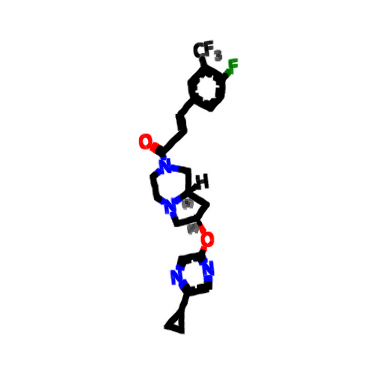 O=C(C=Cc1ccc(F)c(C(F)(F)F)c1)N1CCN2C[C@H](Oc3cnc(C4CC4)cn3)C[C@H]2C1